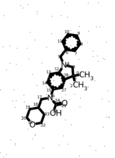 CC1(C)CN(Cc2ccccc2)c2ccc(N(CC3CCOCC3)C(=O)O)cc21